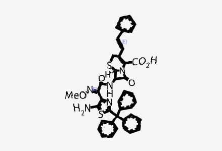 CO/N=C(/C(=O)NC1C(=O)N2C(C(=O)O)=C(/C=C/c3ccccc3)CS[C@H]12)c1nc(C(c2ccccc2)(c2ccccc2)c2ccccc2)sc1N